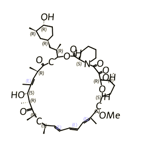 CO[C@H]1C[C@@H]2CC[C@@H](C)[C@@](O)(O2)C(=O)C(=O)N2CCCC[C@H]2C(=O)OC([C@H](C)C[C@@H]2CC[C@@H](O)[C@H](C)C2)CC(=O)[C@H](C)/C=C(\C)[C@@H](O)[C@@H](C)C(=O)[C@H](C)C[C@H](C)/C=C/C=C/C=C/1C